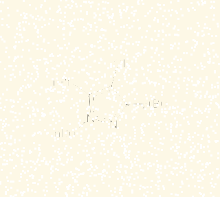 CCCCn1nc(C(C)(C)C)c(O)c1CCC